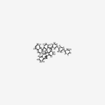 c1ccc(-c2ccc(-c3cccc(N(c4cccc(-c5cccc6ccccc56)c4)c4cccc5c4oc4cc6ccccc6nc45)c3)cc2)cc1